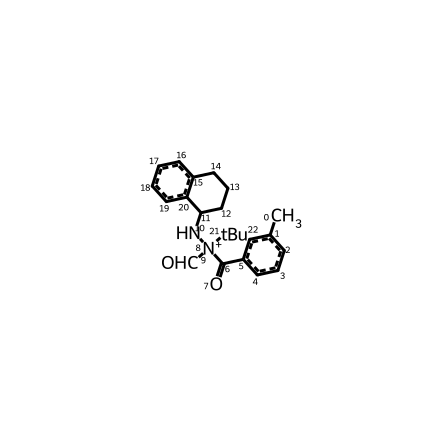 Cc1cccc(C(=O)[N+](C=O)(NC2CCCc3ccccc32)C(C)(C)C)c1